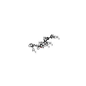 Cc1ncc(C(=O)NCCN2CCOC[C@H]2C)cc1Nc1nn(C)c2c1cnn1cc(-c3cnn(C)c3)cc21